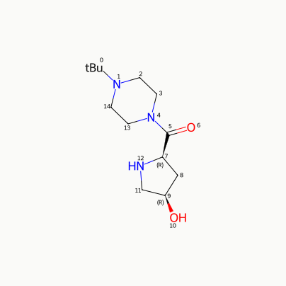 CC(C)(C)N1CCN(C(=O)[C@H]2C[C@@H](O)CN2)CC1